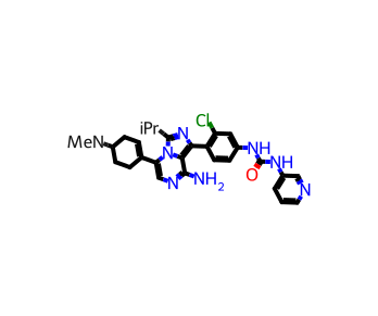 CNC1CC=C(c2cnc(N)c3c(-c4ccc(NC(=O)Nc5cccnc5)cc4Cl)nc(C(C)C)n23)CC1